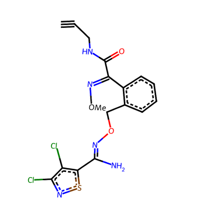 C#CCNC(=O)/C(=N/OC)c1ccccc1CO/N=C(\N)c1snc(Cl)c1Cl